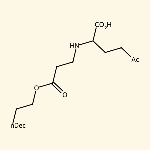 CCCCCCCCCCCCOC(=O)CCNC(CCC(C)=O)C(=O)O